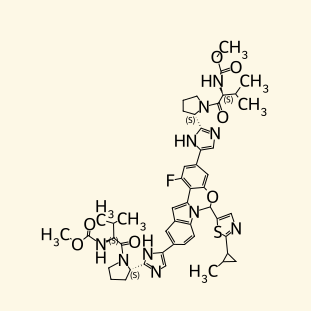 COC(=O)N[C@H](C(=O)N1CCC[C@H]1c1ncc(-c2cc(F)c3c(c2)OC(c2cnc(C4CC4C)s2)n2c-3cc3cc(-c4cnc([C@@H]5CCCN5C(=O)[C@@H](NC(=O)OC)C(C)C)[nH]4)ccc32)[nH]1)C(C)C